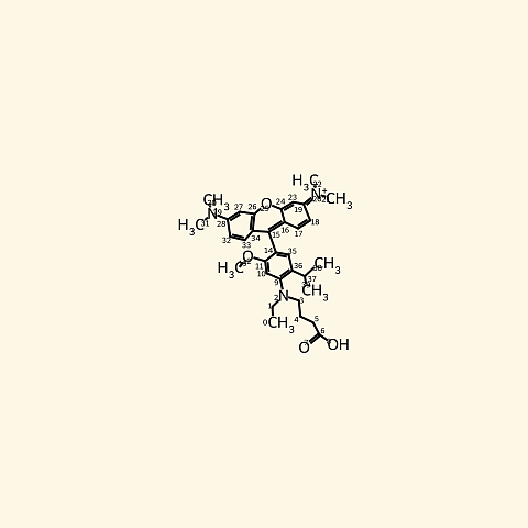 CCN(CCCC(=O)O)c1cc(OC)c(-c2c3ccc(=[N+](C)C)cc-3oc3cc(N(C)C)ccc23)cc1C(C)C